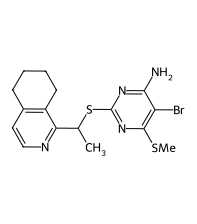 CSc1nc(SC(C)c2nccc3c2CCCC3)nc(N)c1Br